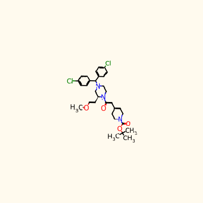 COCC[C@H]1CN(C(c2ccc(Cl)cc2)c2ccc(Cl)cc2)CCN1C(=O)CC1CCN(C(=O)OC(C)(C)C)CC1